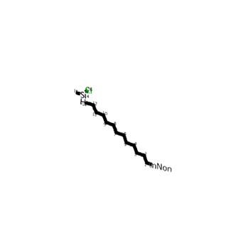 CCCCCCCCCCCCCCCCCCCCCC[SiH](C)Cl